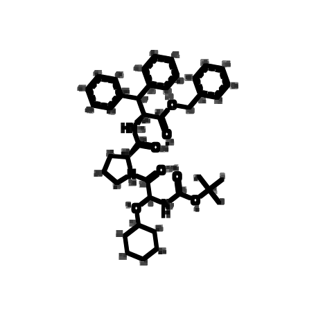 CC(C)(C)OC(=O)NC(OC1CCCCC1)C(=O)N1CCC[C@H]1C(=O)N[C@H](C(=O)OCc1ccccc1)C(c1ccccc1)c1ccccc1